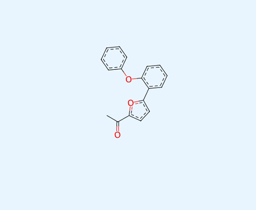 CC(=O)c1ccc(-c2ccccc2Oc2ccccc2)o1